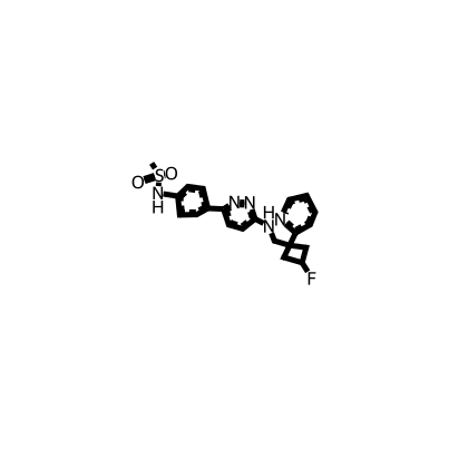 CS(=O)(=O)Nc1ccc(-c2ccc(NCC3(c4ccccn4)CC(F)C3)nn2)cc1